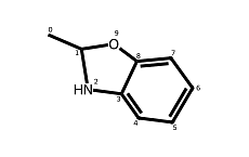 CC1Nc2ccccc2O1